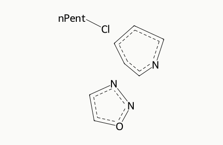 CCCCCCl.c1ccncc1.c1conn1